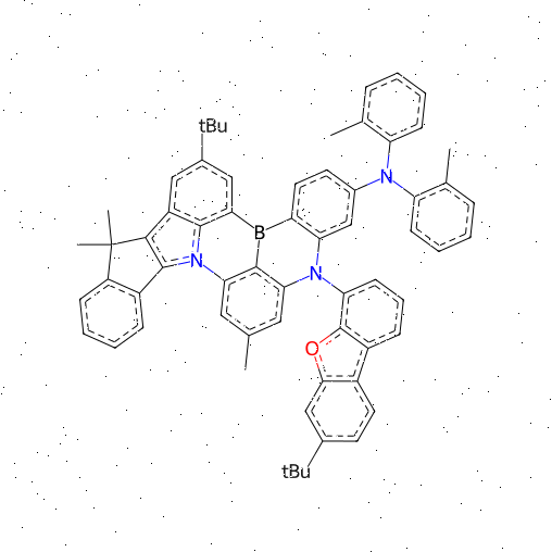 Cc1cc2c3c(c1)-n1c4c(c5cc(C(C)(C)C)cc(c51)B3c1ccc(N(c3ccccc3C)c3ccccc3C)cc1N2c1cccc2c1oc1cc(C(C)(C)C)ccc12)C(C)(C)c1ccccc1-4